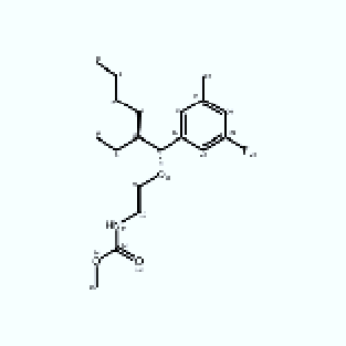 CCCC[C@H](CC)[C@@H](OCCNC(=O)OC)c1cc(C)cc(F)c1